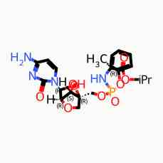 CC(C)OC(=O)[C@@H](C)NP(=O)(OC[C@@]12CO[C@@H]([C@H](n3ccc(N)nc3=O)O1)[C@@H]2O)Oc1ccccc1